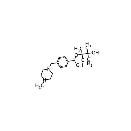 CN1CCN(Cc2ccc(B(O)OC(C)(C)C(C)(C)O)cc2)CC1